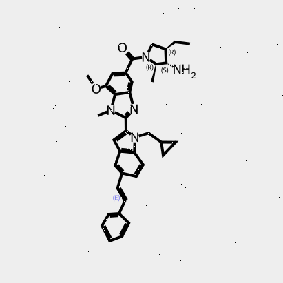 CC[C@@H]1CN(C(=O)c2cc(OC)c3c(c2)nc(-c2cc4cc(/C=C/c5ccccc5)ccc4n2CC2CC2)n3C)[C@H](C)[C@H]1N